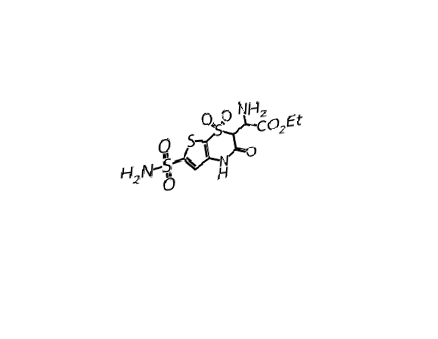 CCOC(=O)C(N)C1C(=O)Nc2cc(S(N)(=O)=O)sc2S1(=O)=O